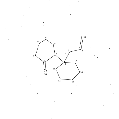 C=CCC1(C2CCCCC2=O)CCCCC1